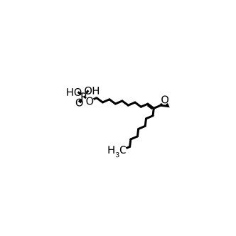 CCCCCCCC/C(=C\CCCCCCCCOP(=O)(O)O)C1CO1